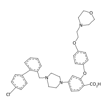 O=C(O)c1ccc(N2CCN(Cc3ccccc3-c3ccc(Cl)cc3)CC2)cc1Oc1ccc(OCCN2CCOCC2)cc1